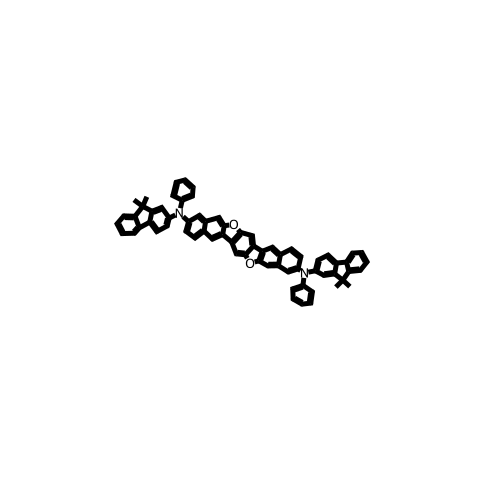 CC1(C)c2ccccc2-c2ccc(N(c3ccccc3)c3ccc4cc5c(cc4c3)oc3cc4c(cc35)oc3cc5cc(N(c6ccccc6)c6ccc7c(c6)C(C)(C)c6ccccc6-7)ccc5cc34)cc21